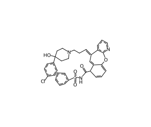 O=C(NS(=O)(=O)c1ccccc1)C1C=CC=C2Oc3ncccc3C(=CCCN3CCC(O)(c4ccc(Cl)cc4)CC3)C=C21